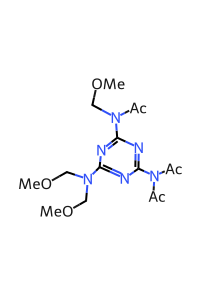 COCN(COC)c1nc(N(COC)C(C)=O)nc(N(C(C)=O)C(C)=O)n1